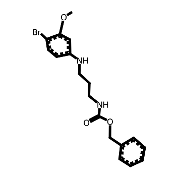 COc1cc(NCCCNC(=O)OCc2ccccc2)ccc1Br